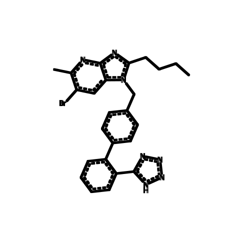 CCCCc1nc2nc(C)c(Br)cc2n1Cc1ccc(-c2ccccc2-c2nnn[nH]2)cc1